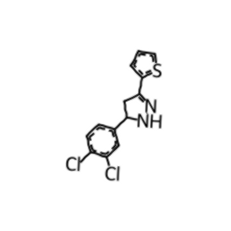 Clc1ccc(C2CC(c3cccs3)=NN2)cc1Cl